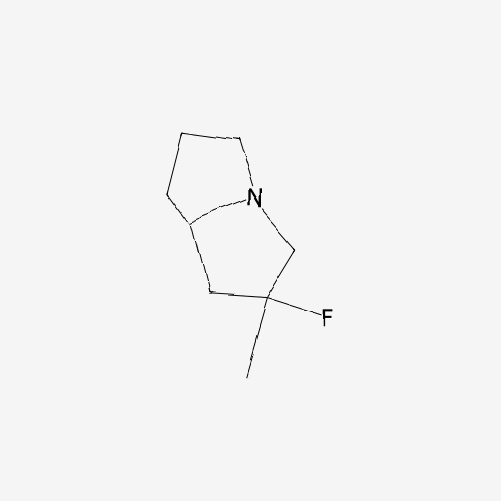 CC1(F)CC2CCCN2C1